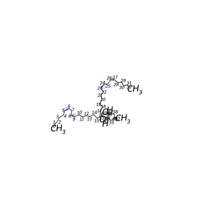 CCCCC/C=C\C/C=C\CCCCCCC1(CCCCCC/C=C\C/C=C\CCCCC)O[C@H]2C[C@@H](C)C[C@H]2O1